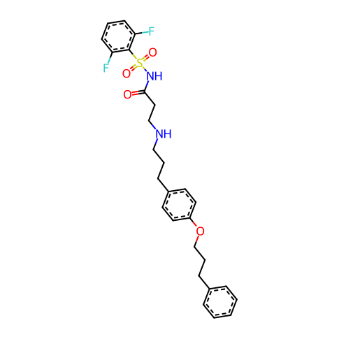 O=C(CCNCCCc1ccc(OCCCc2ccccc2)cc1)NS(=O)(=O)c1c(F)cccc1F